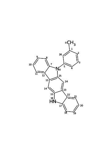 Cc1cccc(-n2c3ccccc3c3cc4[nH]c5ccccc5c4cc32)c1